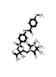 COc1ccc(C(=O)Nc2ccc(S(=O)(=O)CC(O)(CCN3C(=O)N(C)C(C)(C)C3=O)C(=O)O)cc2)cc1